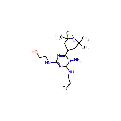 C=CCNC1N=C(NCCO)N=C(C2CC(C)(C)NC(C)(C)C2)N1N